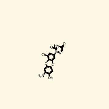 Nc1cc(Oc2c(Cl)cc(-n3ncc(=O)[nH]c3=O)cc2Cl)ccc1O